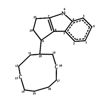 c1ccc2c(c1)[N]C1=C2C(C2CCCCCCCCC2)CC1